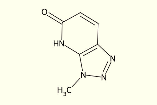 Cn1nnc2ccc(=O)[nH]c21